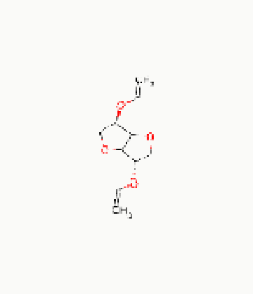 C=CO[C@H]1COC2C1OC[C@H]2OC=C